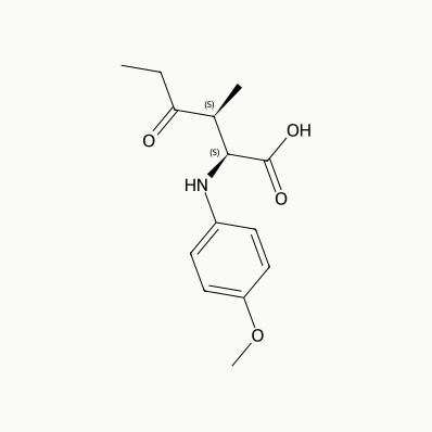 CCC(=O)[C@@H](C)[C@H](Nc1ccc(OC)cc1)C(=O)O